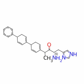 CC(C(=O)[C@@H](N)Cc1c[nH]cn1)C1=CCC(C2=CCC(c3ccccc3)C=C2)C=C1